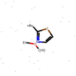 CCCCc1nccs1.CCOC=O